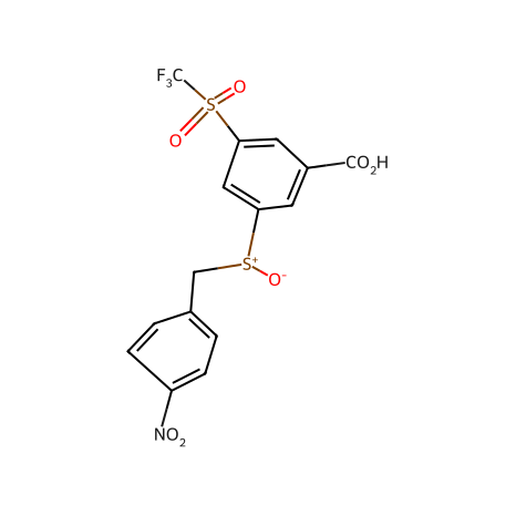 O=C(O)c1cc([S+]([O-])Cc2ccc([N+](=O)[O-])cc2)cc(S(=O)(=O)C(F)(F)F)c1